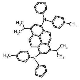 Cc1ccc(N(c2ccccc2)c2cc(C(C)C)c3ccc4c(N(c5ccccc5)c5ccc(C)cc5)cc(C(C)C)c5ccc2c3c54)cc1